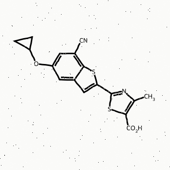 Cc1nc(-c2cc3cc(OC4CC4)cc(C#N)c3s2)sc1C(=O)O